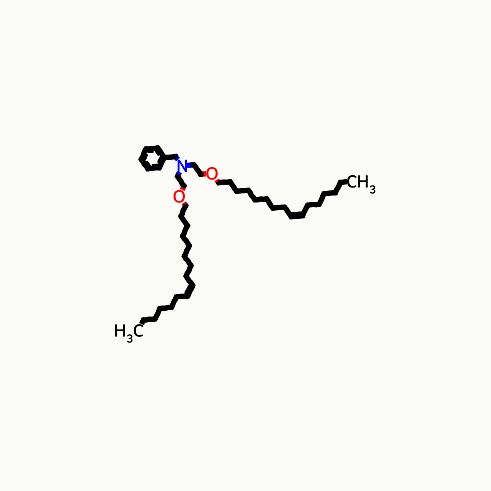 CCCCCC/C=C\CCCCCCCCOCCN(CCOCCCCCCCC/C=C\CCCCCC)Cc1ccccc1